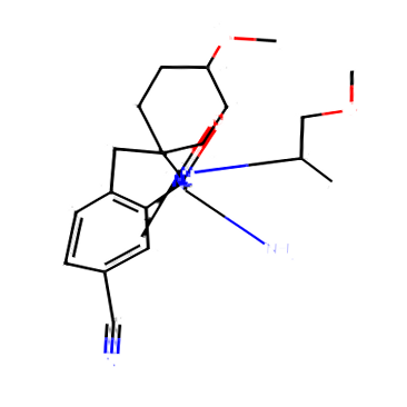 COCC(C)N1C(=O)C2(N=C1N)c1cc(C#N)ccc1CC21CCC(OC)CC1